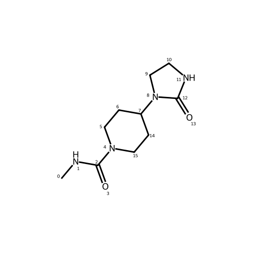 CNC(=O)N1CCC(N2CCNC2=O)CC1